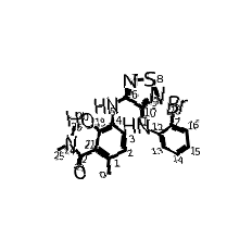 Cc1ccc(Nc2nsnc2Nc2ccccc2Br)c(O)c1C(=O)N(C)C